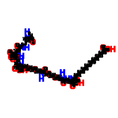 CC[C@@](C=O)(CCCCNC(=O)CC[C@H](NC(=O)CC[C@H](NC(=O)COCCOCCNC(=O)COCCOCCNC(=O)CC[C@H](NC(=O)CCCCCCCCCCCCCCCCC(=O)O)C(=O)O)C(=O)O)C(=O)O)NC